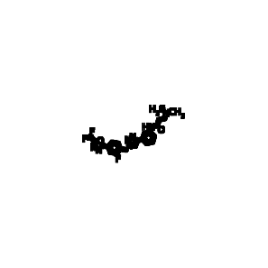 CN(C)CCC(=O)Nc1cccc(-c2cn(Cc3ccc(-c4nnc(C(F)F)o4)cc3F)nn2)c1